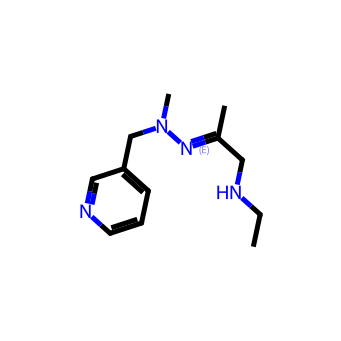 CCNC/C(C)=N/N(C)Cc1cccnc1